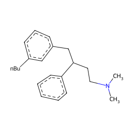 CCCCc1cccc(CC(CCN(C)C)c2ccccc2)c1